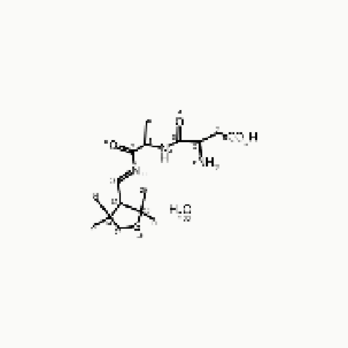 CC(NC(=O)C(N)CC(=O)O)C(=O)N=CC1C(C)(C)CSC1(C)C.O